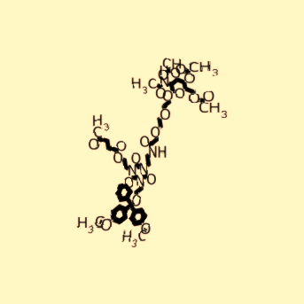 COc1ccc(C(OCCn2c(=O)n(CCNC(=O)COCCOCCOC3OC(COC(C)=O)C(OC(C)=O)C(OC(C)=O)C3NC(C)=O)c(=O)n(CCOC(=O)CCC(C)=O)c2=O)(c2ccccc2)c2ccc(OC)cc2)cc1